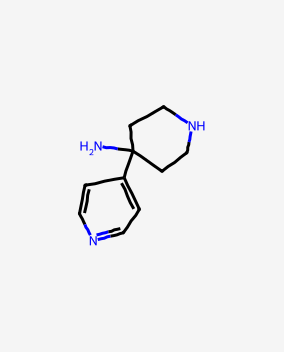 NC1(c2ccncc2)CCNCC1